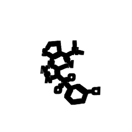 CN(C)c1nc2c(S(=O)(=O)c3cccc(Cl)c3)nnn2c2sccc12